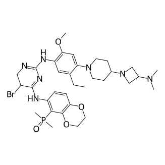 CCc1cc(NC2=NCC(Br)C(Nc3ccc4c(c3P(C)(C)=O)OCCO4)=N2)c(OC)cc1N1CCC(N2CC(N(C)C)C2)CC1